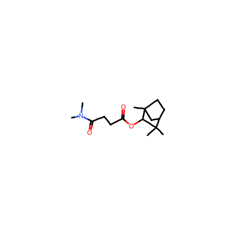 CN(C)C(=O)CCC(=O)OC1C2(C)CCC(C2)C1(C)C